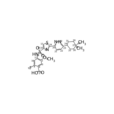 COc1cc(C(=O)O)c(F)cc1NS(=O)(=O)c1csc(-c2ccc(C3CCC(C)(C)CC3)nn2)n1